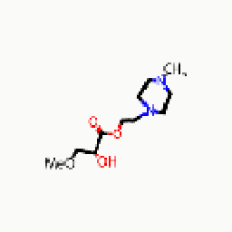 COCC(O)C(=O)OCCN1CCN(C)CC1